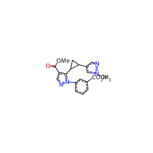 COC(=O)c1cnn(-c2cccc(C(=O)O)c2)c1C1CC1c1cnn(C)c1